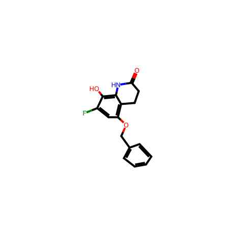 O=C1CCc2c(OCc3ccccc3)cc(F)c(O)c2N1